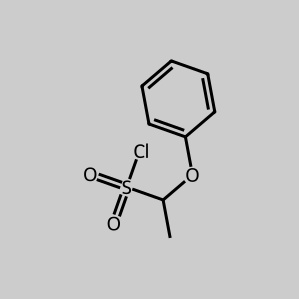 CC(Oc1ccccc1)S(=O)(=O)Cl